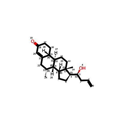 C=CC[C@H](O)[C@H]1CC[C@@H]2[C@H]3[C@H](CC[C@@]21C)[C@H]1CCC(=O)C=C1C[C@H]3C